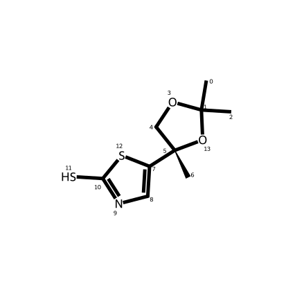 CC1(C)OC[C@@](C)(c2cnc(S)s2)O1